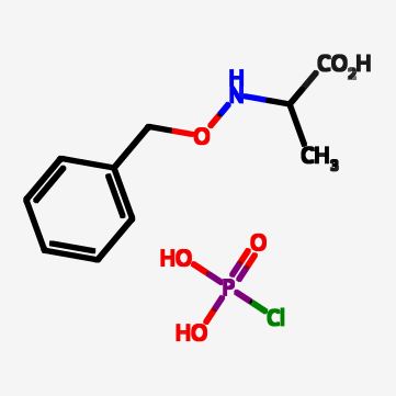 CC(NOCc1ccccc1)C(=O)O.O=P(O)(O)Cl